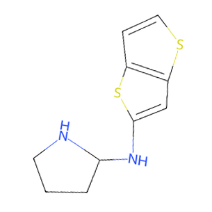 c1cc2sc(NC3CCCN3)cc2s1